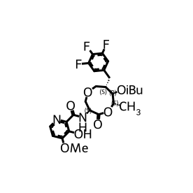 COc1ccnc(C(=O)N[C@H]2COC[C@H](Cc3cc(F)c(F)c(F)c3)[C@@H](OCC(C)C)[C@H](C)OC2=O)c1O